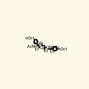 CCCCCCCCc1ccc(C(CC)(NC(C)=O)C(CC)OC(=O)CC(=O)OC(CC)C(CC)(NC(C)=O)c2ccc(CCCCCCCC)cc2)cc1